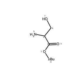 CCCCOC(=O)C(N)CO